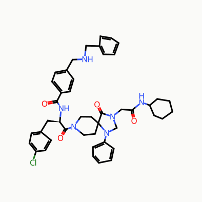 O=C(CN1CN(c2ccccc2)C2(CCN(C(=O)[C@@H](Cc3ccc(Cl)cc3)NC(=O)c3ccc(CNCc4ccccc4)cc3)CC2)C1=O)NC1CCCCC1